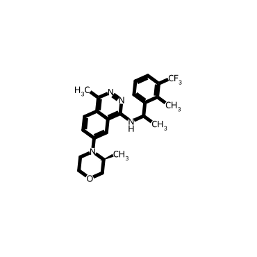 Cc1c(C(C)Nc2nnc(C)c3ccc(N4CCOC[C@@H]4C)cc23)cccc1C(F)(F)F